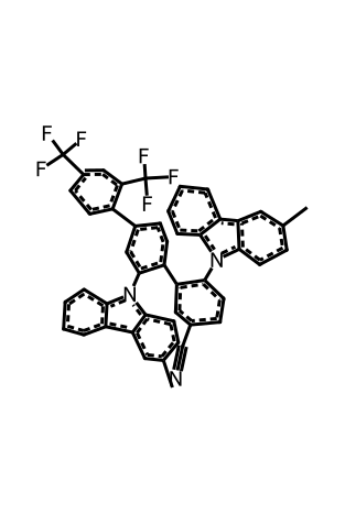 Cc1ccc2c(c1)c1ccccc1n2-c1ccc(C#N)cc1-c1ccc(-c2ccc(C(F)(F)F)cc2C(F)(F)F)cc1-n1c2ccccc2c2cc(C)ccc21